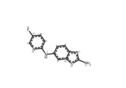 Nc1nc2ccc(Nc3ccc(F)cn3)cc2s1